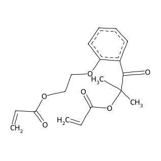 C=CC(=O)OCCOc1ccccc1C(=O)C(C)(C)OC(=O)C=C